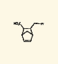 CC(C)CC1C2C=CC(C2)C1C(=O)O